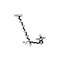 CN(CCOCCOCCOCCOCCC(=O)O)C(=O)CCCCC1SCC2NC(=O)NC21